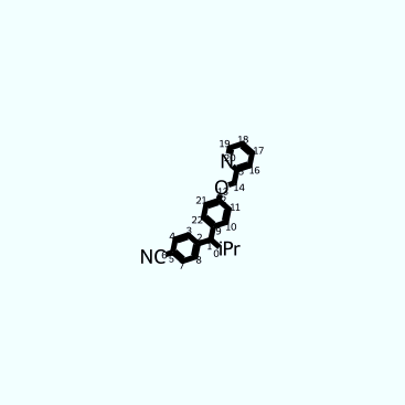 CC(C)C(c1ccc(C#N)cc1)c1ccc(OCc2ccccn2)cc1